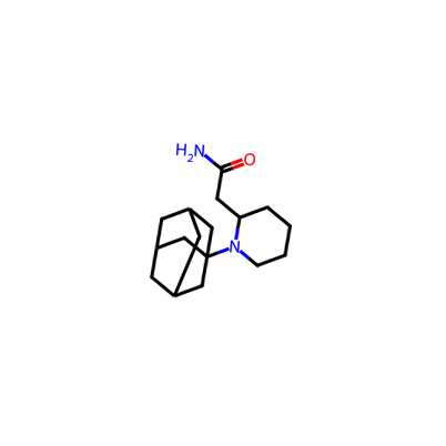 NC(=O)CC1CCCCN1C12CC3CC(CC(C3)C1)C2